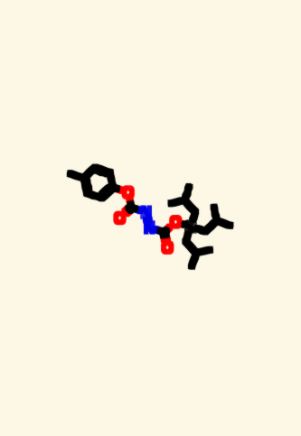 Cc1ccc(OC(=O)N=NC(=O)O[Si](CC(C)C)(CC(C)C)CC(C)C)cc1